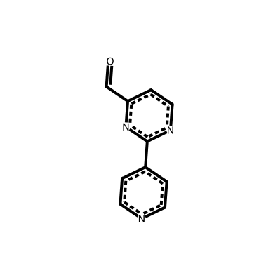 O=Cc1ccnc(-c2ccncc2)n1